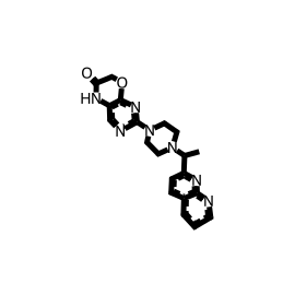 CC(c1ccc2cccnc2n1)N1CCN(c2ncc3c(n2)OCC(=O)N3)CC1